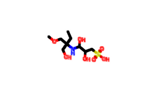 CCC(CO)(COC)NC(O)C(O)CS(=O)(=O)O